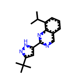 CC(C)c1cccc2cnc(-c3cc(C(C)(C)C)n[nH]3)nc12